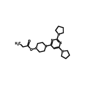 CCC(=O)ON1CCN(c2cc(N3CCCC3)nc(N3CCCC3)n2)CC1